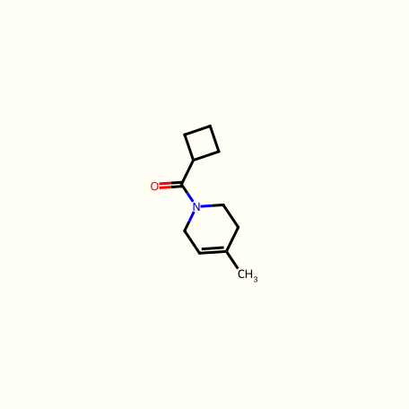 CC1=CCN(C(=O)C2CCC2)CC1